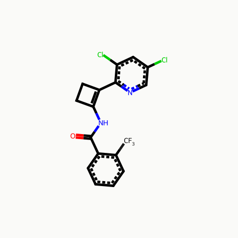 O=C(NC1=C(c2ncc(Cl)cc2Cl)CC1)c1ccccc1C(F)(F)F